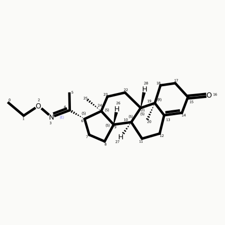 CCO/N=C(\C)[C@H]1CC[C@H]2[C@@H]3CCC4=CC(=O)CC[C@]4(C)[C@H]3CC[C@]12C